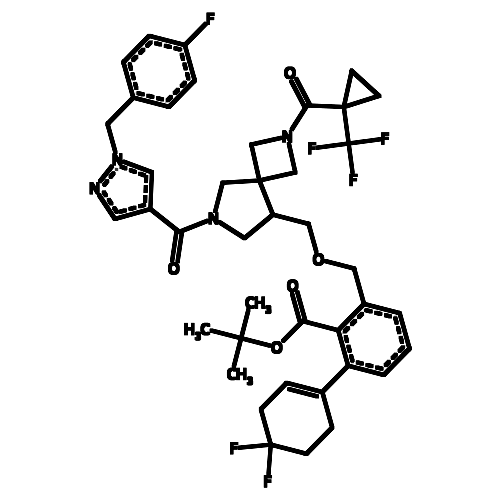 CC(C)(C)OC(=O)c1c(COCC2CN(C(=O)c3cnn(Cc4ccc(F)cc4)c3)CC23CN(C(=O)C2(C(F)(F)F)CC2)C3)cccc1C1=CCC(F)(F)CC1